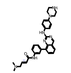 CN(C)C/C=C/C(=O)Nc1cccc(-c2cccc3cnc(Nc4ccc(N5CCNCC5)cc4)nc23)c1